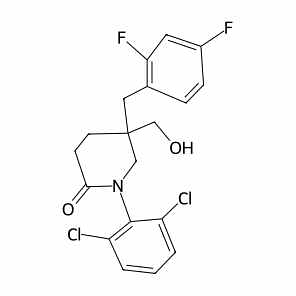 O=C1CCC(CO)(Cc2ccc(F)cc2F)CN1c1c(Cl)cccc1Cl